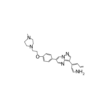 C=C/C=C(\C=C/N)c1cnn2cc(-c3ccc(OCCN4CCN(C)CC4)cc3)cnc12